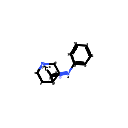 c1ccc(/N=C2\CN3CCC2CC3)cc1